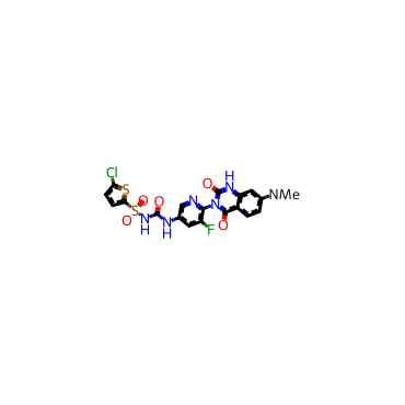 CNc1ccc2c(=O)n(-c3ncc(NC(=O)NS(=O)(=O)c4ccc(Cl)s4)cc3F)c(=O)[nH]c2c1